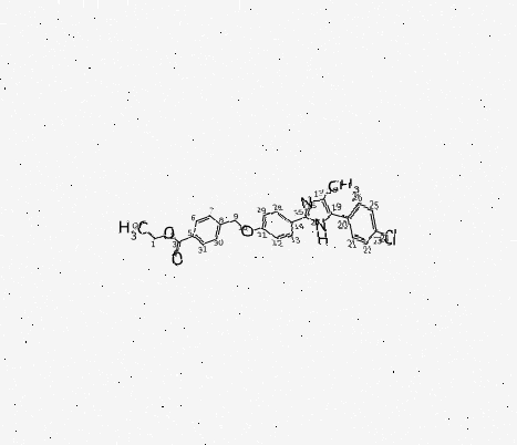 CCOC(=O)c1ccc(COc2ccc(-c3nc(C)c(-c4ccc(Cl)cc4)[nH]3)cc2)cc1